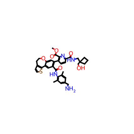 COC(=O)c1nc(C(=O)NCC2(CO)CCC2)ccc1-c1cc2c(cc1C(=O)Nc1c(C)cc(CN)cc1C)-c1sccc1CCO2